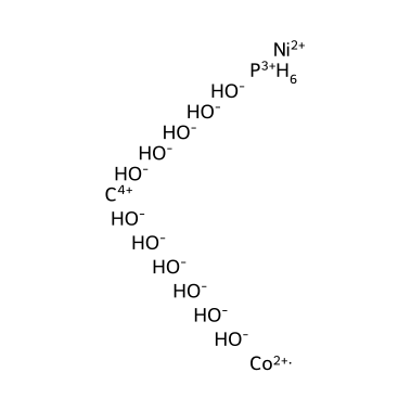 [C+4].[Co+2].[Ni+2].[OH-].[OH-].[OH-].[OH-].[OH-].[OH-].[OH-].[OH-].[OH-].[OH-].[OH-].[PH6+3]